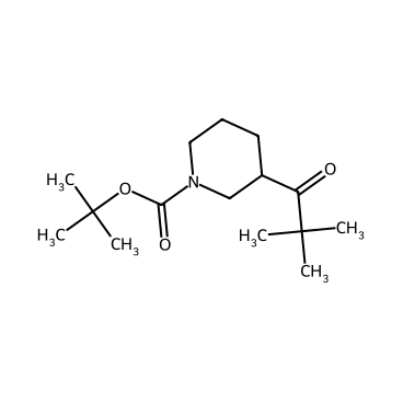 CC(C)(C)OC(=O)N1CCCC(C(=O)C(C)(C)C)C1